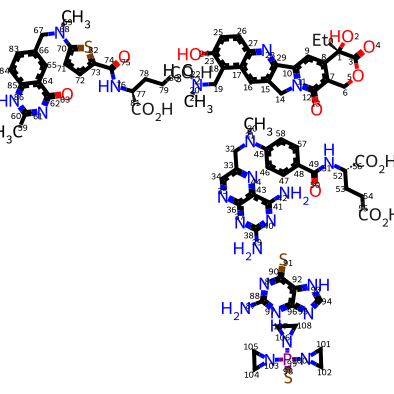 CC[C@@]1(O)C(=O)OCc2c1cc1n(c2=O)Cc2cc3c(CN(C)C)c(O)ccc3nc2-1.CN(Cc1cnc2nc(N)nc(N)c2n1)c1ccc(C(=O)N[C@@H](CCC(=O)O)C(=O)O)cc1.Cc1nc(=O)c2cc(CN(C)c3ccc(C(=O)N[C@@H](CCC(=O)O)C(=O)O)s3)ccc2[nH]1.Nc1nc(=S)c2[nH]cnc2[nH]1.S=P(N1CC1)(N1CC1)N1CC1